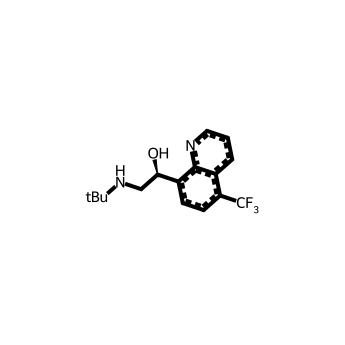 CC(C)(C)NC[C@@H](O)c1ccc(C(F)(F)F)c2cccnc12